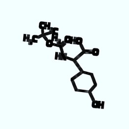 CC(C)(C)OC(=O)NC(C(=O)O)C1CCC(O)CC1